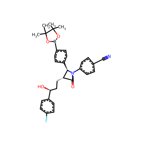 CC1(C)OB(c2ccc([C@@H]3[C@@H](CC[C@H](O)c4ccc(F)cc4)C(=O)N3c3ccc(C#N)cc3)cc2)OC1(C)C